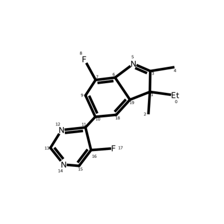 CCC1(C)C(C)=Nc2c(F)cc(-c3ncncc3F)cc21